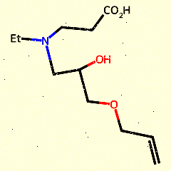 C=CCOCC(O)CN(CC)CCC(=O)O